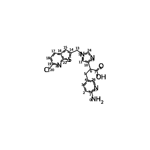 Nc1ccc(CC(C(=O)O)c2cn(Cc3cc4ccc(Cl)nc4s3)cn2)cn1